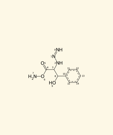 N=NNC(C(=O)ON)C(O)c1ccccc1